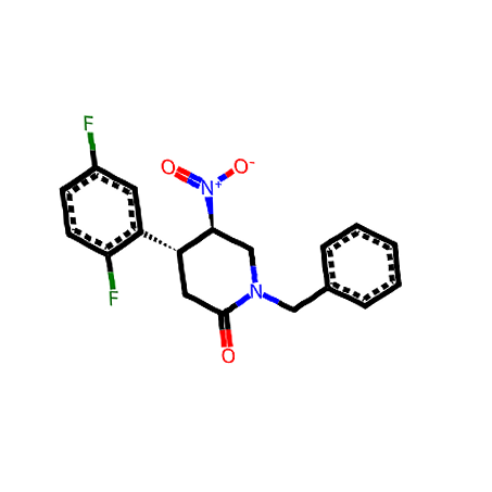 O=C1C[C@H](c2cc(F)ccc2F)[C@@H]([N+](=O)[O-])CN1Cc1ccccc1